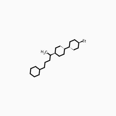 CC[C@H]1CC[C@H]([C@H]2CC[C@H](C(C)CCCC3CCCCC3)CC2)CC1